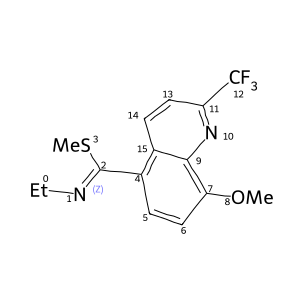 CC/N=C(\SC)c1ccc(OC)c2nc(C(F)(F)F)ccc12